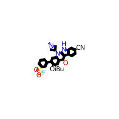 CC(C)COc1cc2c(=O)c3c4ccc(C#N)cc4[nH]c3n(C3CN(C)C3)c2cc1-c1cccc(S(=O)(=O)F)c1